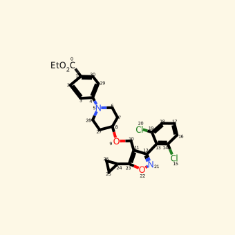 CCOC(=O)c1ccc(N2CCC(OCc3c(-c4c(Cl)cccc4Cl)noc3C3CC3)CC2)cc1